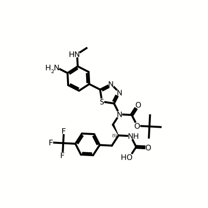 CNc1cc(-c2nnc(N(C[C@H](Cc3ccc(C(F)(F)F)cc3)NC(=O)O)C(=O)OC(C)(C)C)s2)ccc1N